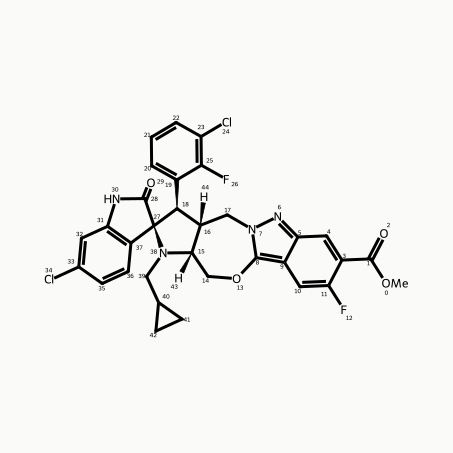 COC(=O)c1cc2nn3c(c2cc1F)OC[C@H]1[C@@H](C3)[C@H](c2cccc(Cl)c2F)[C@]2(C(=O)Nc3cc(Cl)ccc32)N1CC1CC1